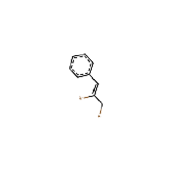 BrCC(Br)=Cc1ccccc1